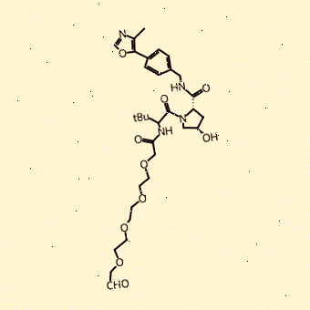 Cc1ncoc1-c1ccc(CNC(=O)[C@@H]2C[C@@H](O)CN2C(=O)C(NC(=O)COCCOCCOCCOCC=O)C(C)(C)C)cc1